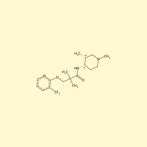 C[C@@H]1CN(C)CC[C@@H]1NC(=O)C(C)(C)COc1ncccc1C(F)(F)F